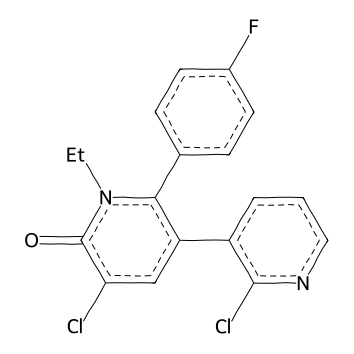 CCn1c(-c2ccc(F)cc2)c(-c2cccnc2Cl)cc(Cl)c1=O